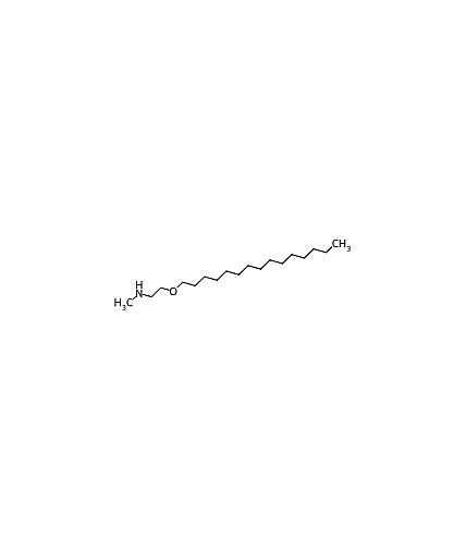 CCCCCCCCCCCCCCCOCCNC